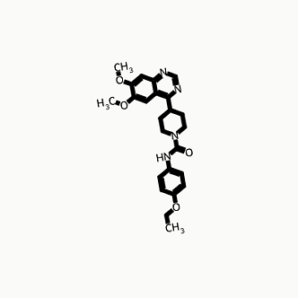 CCOc1ccc(NC(=O)N2CCC(c3ncnc4cc(OC)c(OC)cc34)CC2)cc1